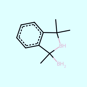 BC1(C)BC(C)(C)c2ccccc21